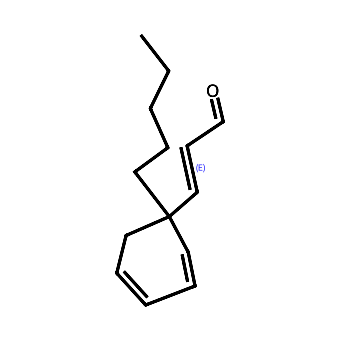 CCCCCC1(/C=C/C=O)C=CC=CC1